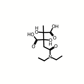 CCN(CC)C(=O)CC(O)(C(=O)O)C(C)(O)C(=O)O